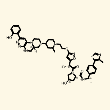 Cc1ncsc1-c1ccc([C@H](C)NC(=O)[C@@H]2C[C@@H](O)CN2C(=O)[C@@H](c2cc(OCCN3CCC(N4CCN5c6cc(-c7ccccc7O)nnc6NC[C@H]5C4)CC3C)no2)C(C)C)cc1